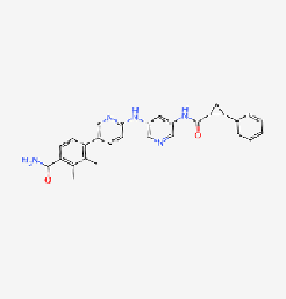 Cc1c(C(N)=O)ccc(-c2ccc(Nc3cncc(NC(=O)C4CC4c4ccccc4)c3)nc2)c1C